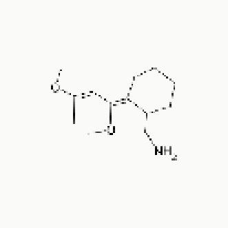 COC(/C=C(\C)OC)=C1/CCCCC1CN